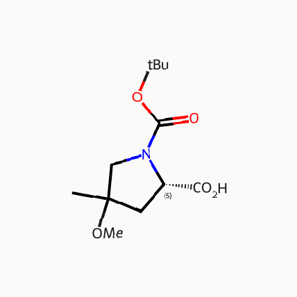 COC1(C)C[C@@H](C(=O)O)N(C(=O)OC(C)(C)C)C1